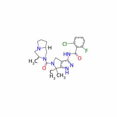 C[C@H]1CN2CCC[C@H]2CN1C(=O)N1Cc2c(NC(=O)c3c(F)cccc3Cl)n[nH]c2C1(C)C